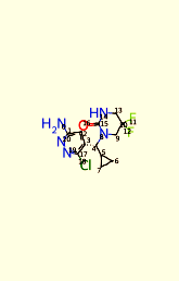 Nc1cc([C@@H](C2CC2)N2CC(F)(F)CNC2=O)c(Cl)nn1